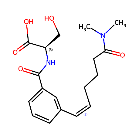 CN(C)C(=O)CCC/C=C\c1cccc(C(=O)N[C@H](CO)C(=O)O)c1